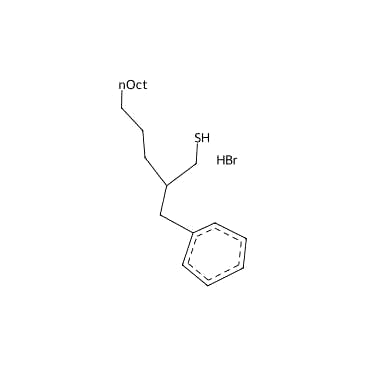 Br.CCCCCCCCCCCC(CS)Cc1ccccc1